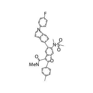 CNC(=O)c1c(-c2ccc(C)cc2)oc2cc(N(C)S(C)(=O)=O)c(-c3ccc4c(ccn4-c4ccc(F)cc4)c3)cc12